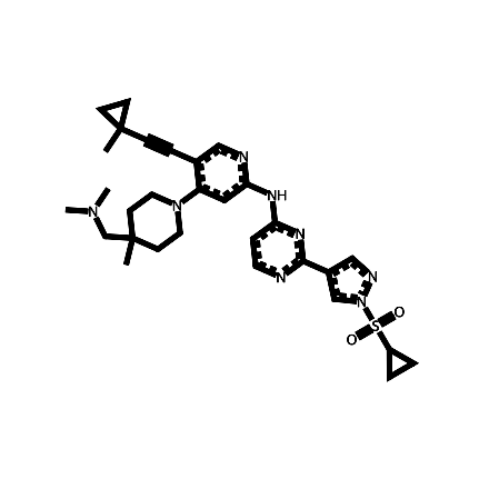 CN(C)CC1(C)CCN(c2cc(Nc3ccnc(-c4cnn(S(=O)(=O)C5CC5)c4)n3)ncc2C#CC2(C)CC2)CC1